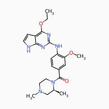 CCOc1nc(Nc2ccc(C(=O)N3CCN(C)C[C@@H]3C)cc2OC)nc2[nH]ccc12